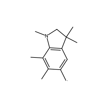 [CH2]c1cc2c(c(C)c1C)N(C)CC2(C)C